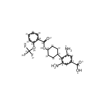 Nc1cc(C(=O)O)cc(N)c1C1CCC(OC(=O)c2ccccc2OC(F)(F)F)CC1